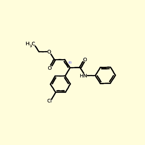 CCOC(=O)/C=C(/C(=O)Nc1ccccc1)c1ccc(Cl)cc1